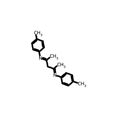 C/C(C/C(C)=N/c1ccc(C)cc1)=N\c1ccc(C)cc1